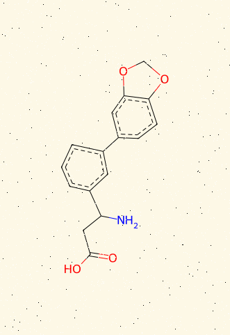 NC(CC(=O)O)c1cccc(-c2ccc3c(c2)OCO3)c1